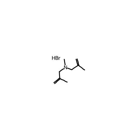 Br.C=C(C)CN(C)CC(=C)C